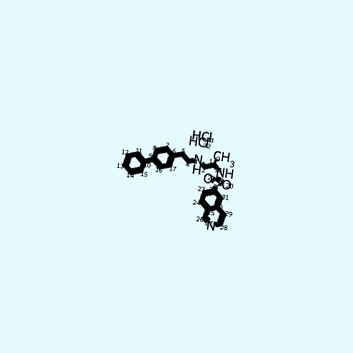 C[C@H](CNCCc1ccc(-c2ccccc2)cc1)NS(=O)(=O)c1ccc2cnccc2c1.Cl.Cl